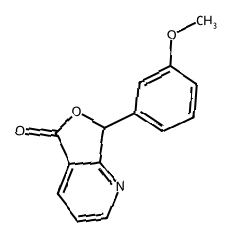 COc1cccc(C2OC(=O)c3cccnc32)c1